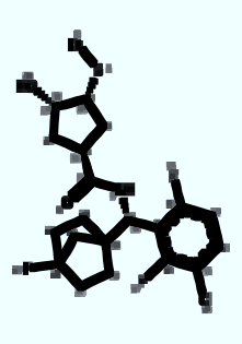 CCS[C@@H]1C[C@@H](C(=O)N[C@H](c2c(F)ccc(Cl)c2F)C23CCC(F)(CC2)C3)C[C@@H]1O